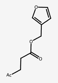 CC(=O)CCC(=O)OCc1ccoc1